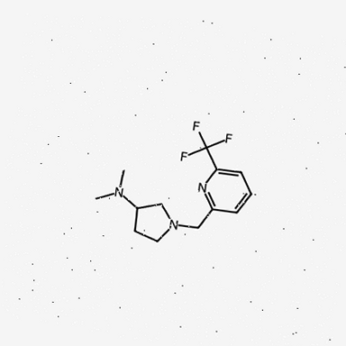 CN(C)C1CCN(Cc2c[c]cc(C(F)(F)F)n2)C1